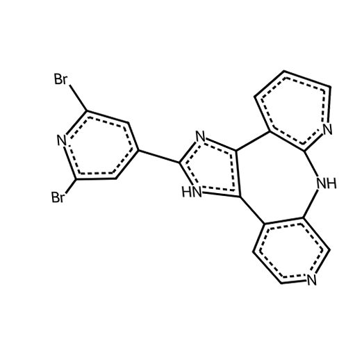 Brc1cc(-c2nc3c([nH]2)-c2ccncc2Nc2ncccc2-3)cc(Br)n1